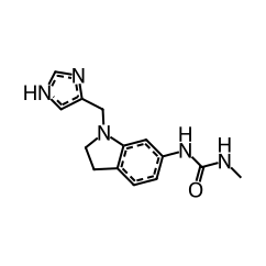 CNC(=O)Nc1ccc2c(c1)N(Cc1c[nH]cn1)CC2